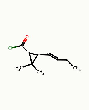 CCC=C[C@@H]1[C@@H](C(=O)Cl)C1(C)C